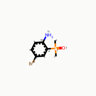 CP(C)(=O)c1cc(Br)ccc1N